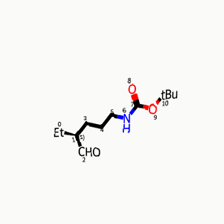 CC[C@H](C=O)CCCNC(=O)OC(C)(C)C